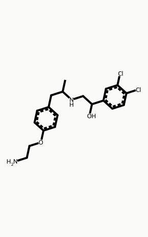 CC(Cc1ccc(OCCN)cc1)NCC(O)c1ccc(Cl)c(Cl)c1